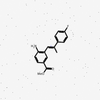 COC(=O)c1ccc(N)c(/C=C(\C)c2ccc(F)cc2)c1